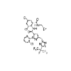 O=C(NCC1CC1)c1cc(Cl)cc(Cl)c1NC(=O)c1cc(Cn2nnc(C(F)(C(F)(F)F)C(F)(F)F)n2)nn1-c1ncccc1Cl